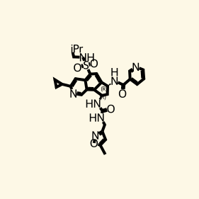 Cc1cc(CNC(=O)N[C@@H]2C[C@@H](NC(=O)c3cccnc3)c3cc(S(=O)(=O)NCC(C)C)c4cc(C5CC5)ncc4c32)no1